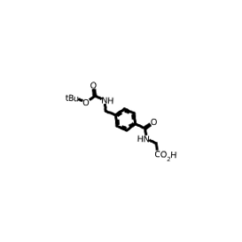 CC(C)(C)OC(=O)NCc1ccc(C(=O)NCC(=O)O)cc1